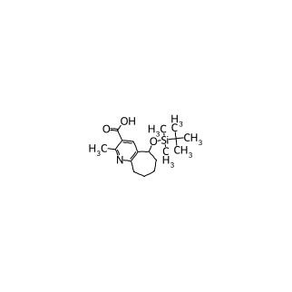 Cc1nc2c(cc1C(=O)O)C(O[Si](C)(C)C(C)(C)C)CCCC2